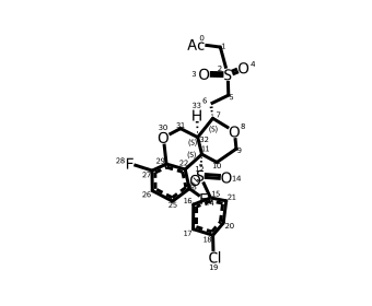 CC(=O)CS(=O)(=O)CC[C@@H]1OCC[C@@]2(S(=O)(=O)c3ccc(Cl)cc3)c3c(F)ccc(F)c3OC[C@@H]12